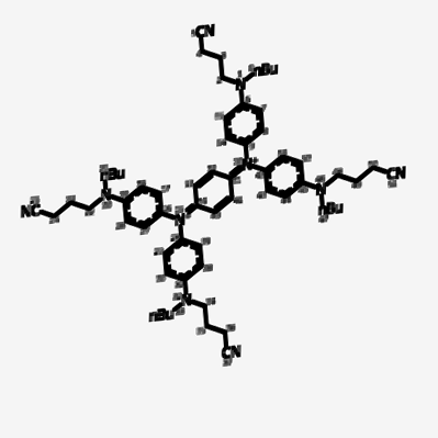 CCCCN(CCCC#N)c1ccc([N+](=C2C=CC(=[N+](c3ccc(N(CCCC)CCCC#N)cc3)c3ccc(N(CCCC)CCCC#N)cc3)C=C2)c2ccc(N(CCCC)CCCC#N)cc2)cc1